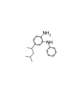 CC(C)CC(C)c1ccc(N)c(Nc2ccccc2)c1